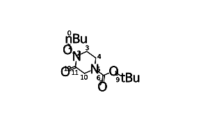 CCCCON1CCN(C(=O)OC(C)(C)C)CC1=O